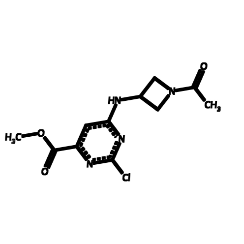 COC(=O)c1cc(NC2CN(C(C)=O)C2)nc(Cl)n1